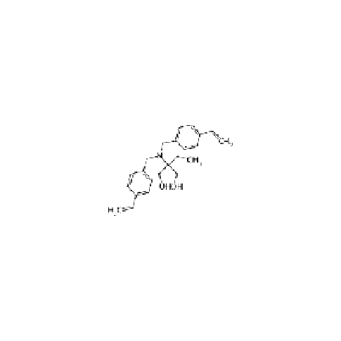 C=Cc1ccc(CN(Cc2ccc(C=C)cc2)C(CC)(CO)CO)cc1